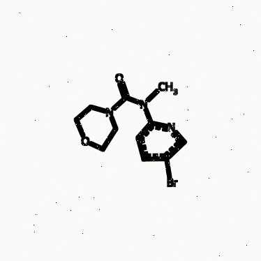 CN(C(=O)N1CCOCC1)c1ccc(Br)cn1